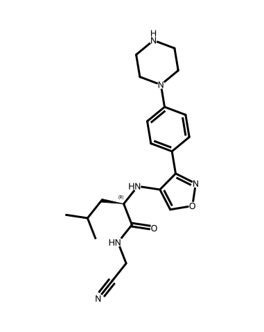 CC(C)C[C@@H](Nc1conc1-c1ccc(N2CCNCC2)cc1)C(=O)NCC#N